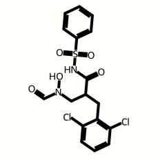 O=CN(O)CC(Cc1c(Cl)cccc1Cl)C(=O)NS(=O)(=O)c1ccccc1